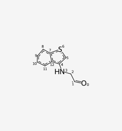 O=[C]CNc1csc2ccccc12